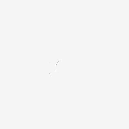 COc1cc(C)c(S(=O)(=O)N(Cc2ccc3c(c2)OCO3)[C@@H](C(=O)NOCc2ccccc2)[C@H](C)O)c(C)c1C